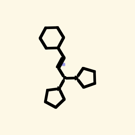 C(=C\P(N1CCCC1)N1CCCC1)/C1CCCCC1